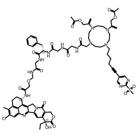 C=C(COC(C)=O)N1CCN(CCCCC#Cc2cnc(S(C)(=O)=O)nc2)CCN(CC(=O)NCC(=O)NCC(=O)N[C@@H](Cc2ccccc2)C(=O)NCC(=O)NCOCC(=O)N[C@H]2CCc3c(C)c(Cl)cc4nc5c(c2c34)Cn2c-5cc3c(c2=O)COC(=O)[C@]3(O)CC)CCN(C(=C)COC(C)=O)CC1